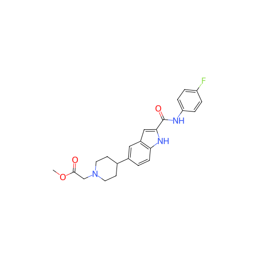 COC(=O)CN1CCC(c2ccc3[nH]c(C(=O)Nc4ccc(F)cc4)cc3c2)CC1